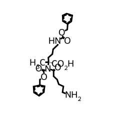 C[C@](CCCCNC(=O)OCc1ccccc1)(C(=O)O)N(C(=O)CCCCCN)C(=O)OCc1ccccc1